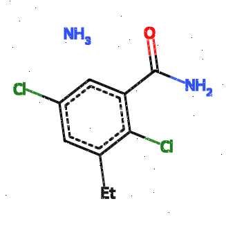 CCc1cc(Cl)cc(C(N)=O)c1Cl.N